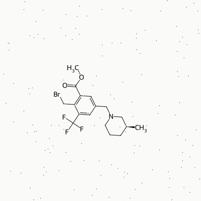 COC(=O)c1cc(CN2CCC[C@H](C)C2)cc(C(F)(F)F)c1CBr